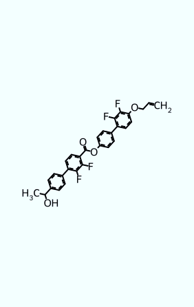 C=CCOc1ccc(-c2ccc(OC(=O)c3ccc(-c4ccc(C(C)O)cc4)c(F)c3F)cc2)c(F)c1F